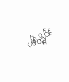 O=C(Nc1cc(F)c(F)c(F)c1)c1cc(S(=O)(=O)NC2CCCC2)ccc1Cl